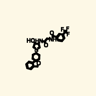 O=C(CNC(=O)c1cccc(C(F)(F)F)c1)N[C@H]1CN(C2CCC3(CC2)OCc2ccccc23)CC1O